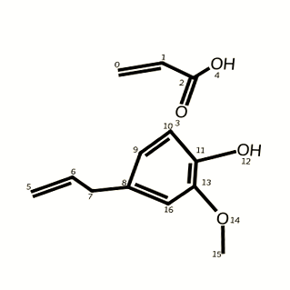 C=CC(=O)O.C=CCc1ccc(O)c(OC)c1